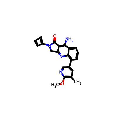 COc1ncc(-c2cccc3c(N)c4c(nc23)CN(C2=CC=C2)C4=O)cc1C